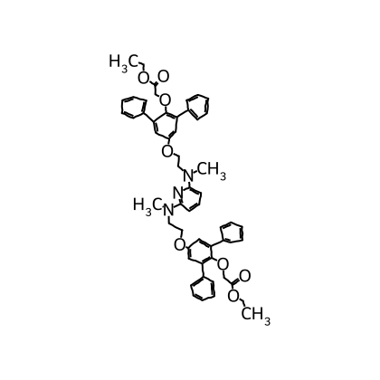 CCOC(=O)COc1c(-c2ccccc2)cc(OCCN(C)c2cccc(N(C)CCOc3cc(-c4ccccc4)c(OCC(=O)OCC)c(-c4ccccc4)c3)n2)cc1-c1ccccc1